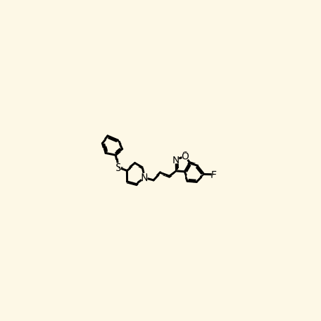 Fc1ccc2c(CCCN3CCC(Sc4ccccc4)CC3)noc2c1